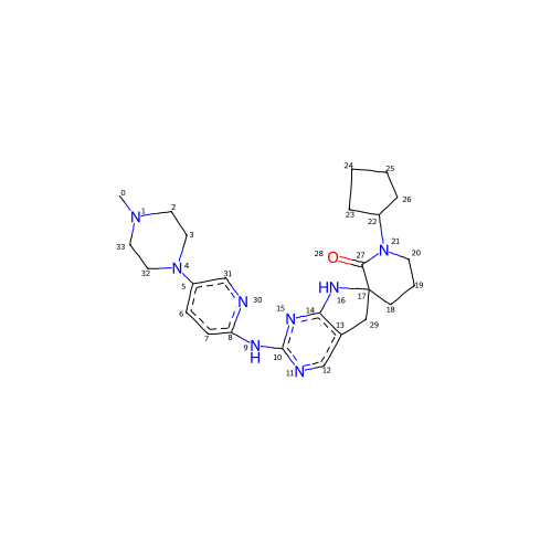 CN1CCN(c2ccc(Nc3ncc4c(n3)NC3(CCCN(C5CCCC5)C3=O)C4)nc2)CC1